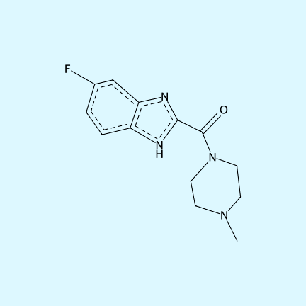 CN1CCN(C(=O)c2nc3cc(F)ccc3[nH]2)CC1